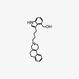 OCc1cccc2[nH]cc(CCCCN3CCC4=C(CCc5ccccc54)C3)c12